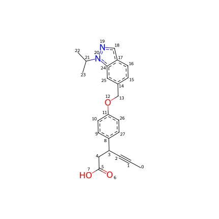 CC#CC(CC(=O)O)c1ccc(OCc2ccc3cnn(C(C)C)c3c2)cc1